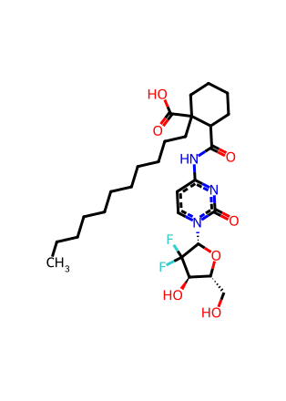 CCCCCCCCCCCC1(C(=O)O)CCCCC1C(=O)Nc1ccn([C@@H]2O[C@H](CO)[C@@H](O)C2(F)F)c(=O)n1